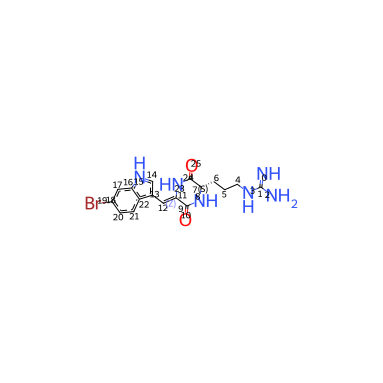 N=C(N)NCCC[C@@H]1NC(=O)/C(=C/c2c[nH]c3cc(Br)ccc23)NC1=O